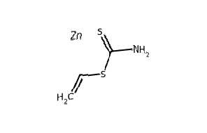 C=CSC(N)=S.[Zn]